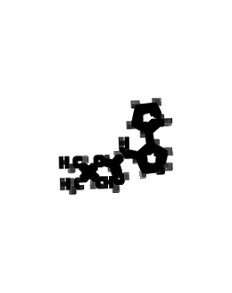 CC(C)(C)OC(=O)Nc1cscc1-c1cccs1